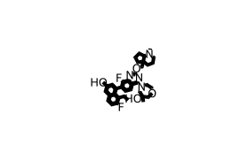 CCc1c(F)ccc2cc(O)cc(-c3ccc4c(N5CCOCC(C)(O)C5)nc(OCC56CCCC5N(C)CCC6)nc4c3F)c12